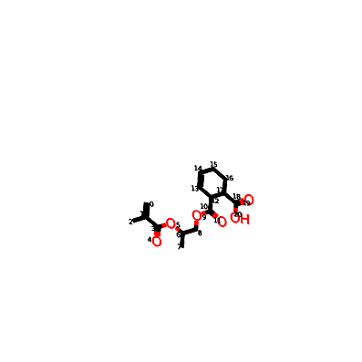 C=C(C)C(=O)OC(C)COC(=O)C1C=CCCC1C(=O)O